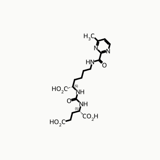 Cc1ccnc(C(=O)NCCCC[C@H](NC(=O)N[C@@H](CCC(=O)O)C(=O)O)C(=O)O)n1